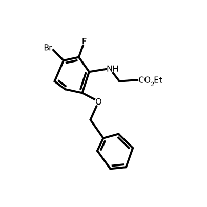 CCOC(=O)CNc1c(OCc2ccccc2)ccc(Br)c1F